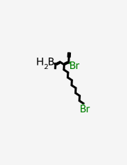 B/C(C)=C/C(CCCCCCCCCCBr)=C(/Br)C#C